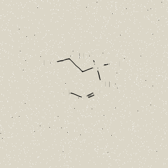 C[N+](C)(C)CCO.O=PCl.[Cl-]